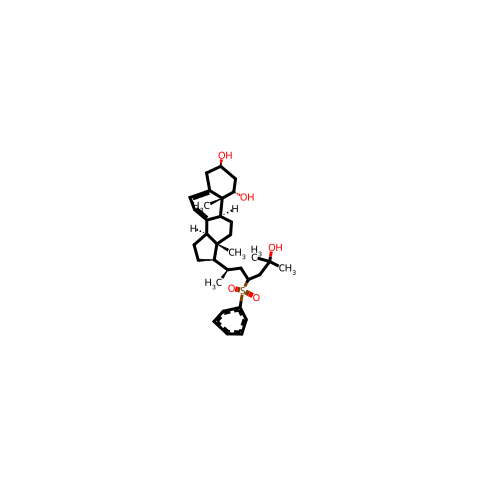 C[C@H](CC(CC(C)(C)O)S(=O)(=O)c1ccccc1)[C@H]1CC[C@H]2C3=CC=C4C[C@@H](O)C[C@H](O)[C@]4(C)[C@H]3CC[C@]12C